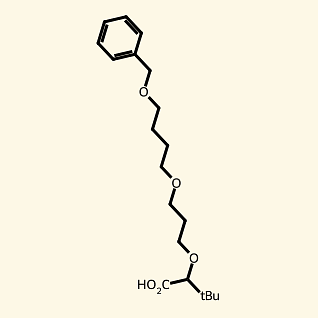 CC(C)(C)C(OCCCOCCCCOCc1ccccc1)C(=O)O